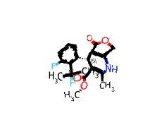 COC(=O)C1=C(C)NC2=C(C(=O)OC2)[C@H]1c1cccc(F)c1C(C)(C)F